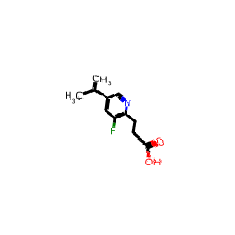 CC(C)c1cnc(CCC(=O)O)c(F)c1